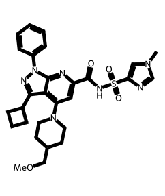 COCC1CCN(c2cc(C(=O)NS(=O)(=O)c3cn(C)cn3)nc3c2c(C2CCC2)nn3-c2ccccc2)CC1